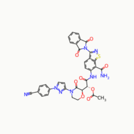 CC(=O)O[C@@H](C(=O)Nc1ccc2c(N3C(=O)c4ccccc4C3=O)nsc2c1C(N)=O)[C@H]1OCCN(c2ccn(-c3ccc(C#N)cc3)n2)C1=O